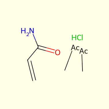 C=CC(N)=O.CC(C)=O.CC(C)=O.Cl